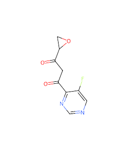 O=C(CC(=O)C1CO1)c1ncncc1F